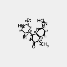 CC[C@@H]1CN(c2nc(=O)n(C)c3ccc(C#N)nc23)[C@@H](CC)CN1.Cl